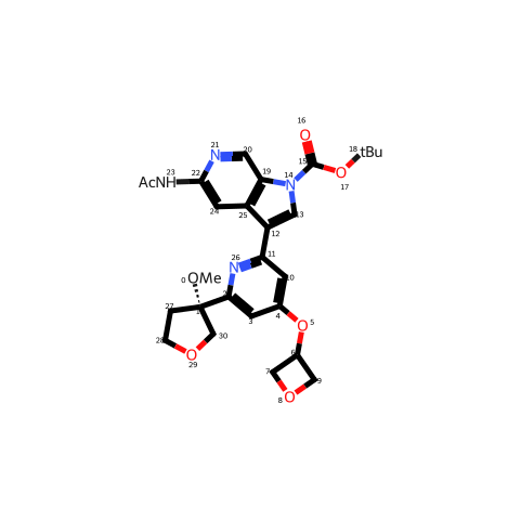 CO[C@@]1(c2cc(OC3COC3)cc(-c3cn(C(=O)OC(C)(C)C)c4cnc(NC(C)=O)cc34)n2)CCOC1